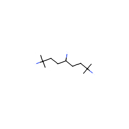 CC(C)(N)CCC(N)CCC(C)(C)N